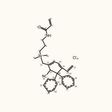 C=CC(=O)NCCC[N+](C)(C)CC1=CC=C(C=C)C(c2ccccc2)(c2ccccc2)C1C#N.[Cl-]